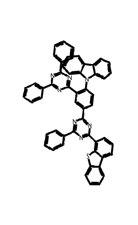 c1ccc(-c2nc(-c3ccccc3)nc(-c3cc(-c4nc(-c5ccccc5)nc(-c5cccc6c5sc5ccccc56)n4)ccc3-n3c4ccccc4c4ccccc43)n2)cc1